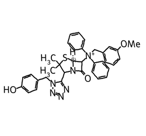 COc1cccc(C[N+](c2ccccc2)(c2ccccc2)C2C(=O)N3C(c4nnnn4Cc4ccc(O)cc4)C(C)(C)S[C@@H]23)c1